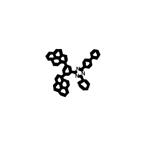 C1=CCC=CC(c2nc(-c3ccc(-c4ccccc4)cc3)nc(-c3cc(-c4ccc5ccc6cccc7ccc4c5c67)cc(-c4ccc5ccc6cccc7ccc4c5c67)c3)n2)=C1